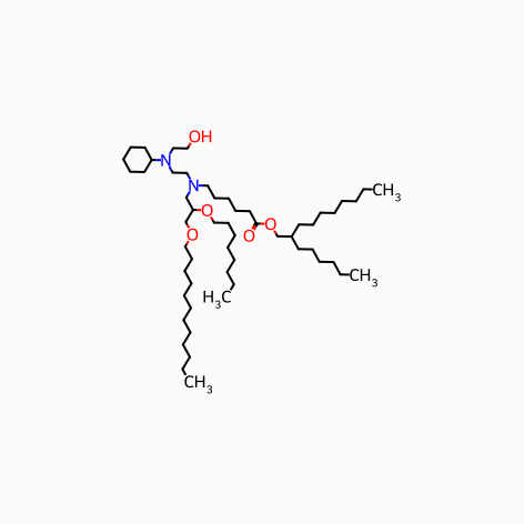 CCCCCCCCCCCCOCC(CN(CCCCCC(=O)OCC(CCCCCC)CCCCCCCC)CCN(CCO)C1CCCCC1)OCCCCCCCC